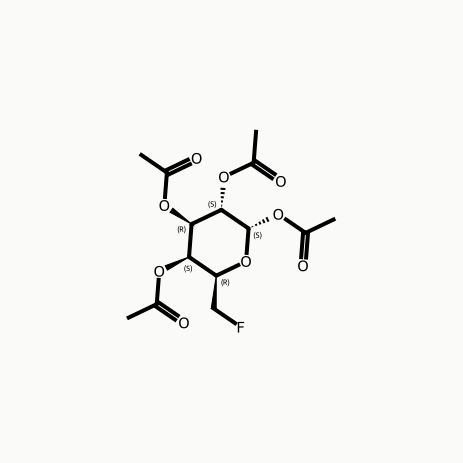 CC(=O)O[C@@H]1O[C@@H](CF)[C@@H](OC(C)=O)[C@@H](OC(C)=O)[C@@H]1OC(C)=O